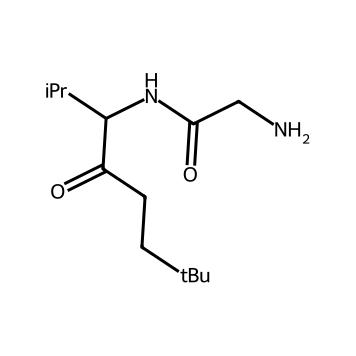 CC(C)C(NC(=O)CN)C(=O)CCC(C)(C)C